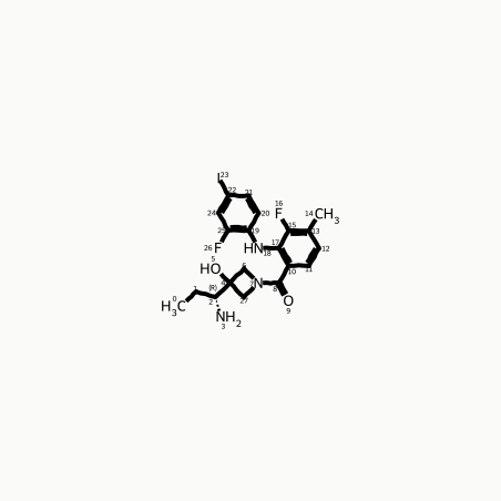 CC[C@@H](N)C1(O)CN(C(=O)c2ccc(C)c(F)c2Nc2ccc(I)cc2F)C1